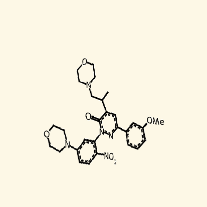 COc1cccc(-c2cc(C(C)CN3CCOCC3)c(=O)n(-c3cc(N4CCOCC4)ccc3[N+](=O)[O-])n2)c1